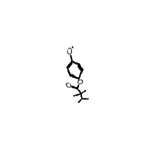 COc1ccc(OC(=O)C(C)(C)C(C)C)cc1